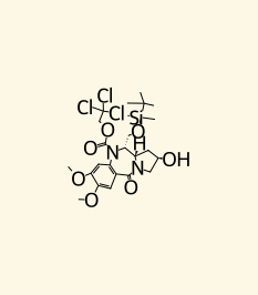 COc1cc2c(cc1OC)N(C(=O)OCC(Cl)(Cl)Cl)[C@H](CO[Si](C)(C)C(C)(C)C)[C@@H]1C[C@@H](O)CN1C2=O